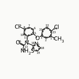 Cc1cc(Oc2ccc(Cl)cc2N(C(N)=O)c2nccs2)ccc1Cl